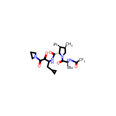 CC(C)[C@@H]1[C@@H](C(=O)NC(CC2CC2)C(=O)C(=O)N2CCC2)N(C(=O)[C@@H](NC(=O)C(F)(F)F)C(C)(C)C)C[C@@H]1C